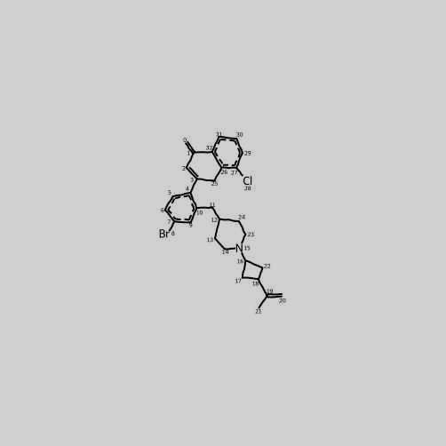 C=C1C=C(c2ccc(Br)cc2CC2CCN(C3CC(C(=C)C)C3)CC2)Cc2c(Cl)cccc21